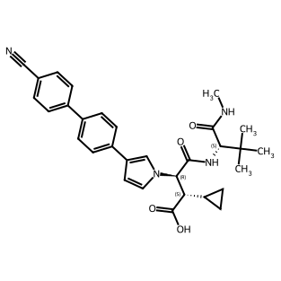 CNC(=O)[C@@H](NC(=O)[C@@H]([C@@H](C(=O)O)C1CC1)n1ccc(-c2ccc(-c3ccc(C#N)cc3)cc2)c1)C(C)(C)C